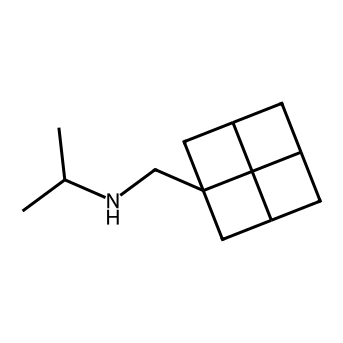 CC(C)NCC12CC3CC4CC(C1)C432